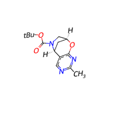 Cc1ncc2c(n1)O[C@H]1C[C@@H]2N(C(=O)OC(C)(C)C)C1